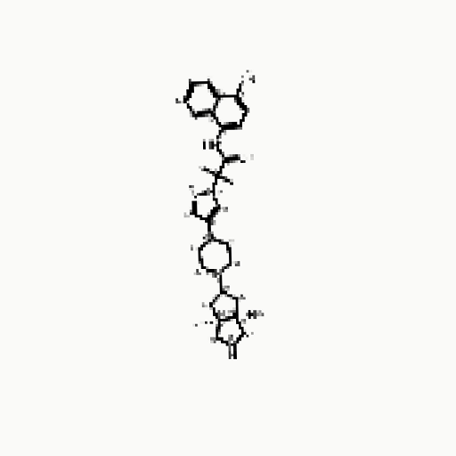 CC(C)(C(=O)Nc1ccc(C#N)c2ccccc12)n1cc(C2CCN(C3C[C@H]4CNC[C@H]4C3)CC2)cn1